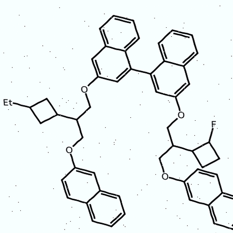 CCC1CC(C(COc2ccc3ccccc3c2)COc2cc(-c3cc(OCC(COc4ccc5ccccc5c4)C4CCC4F)cc4ccccc34)c3ccccc3c2)C1